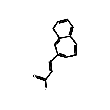 O=C(O)/C=C/C1=CC=CC2=CC=CCC2=C1